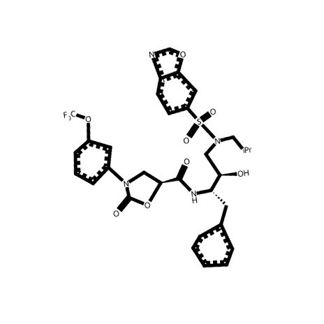 CC(C)CN(C[C@@H](O)[C@H](Cc1ccccc1)NC(=O)[C@@H]1CN(c2cccc(OC(F)(F)F)c2)C(=O)O1)S(=O)(=O)c1ccc2ncoc2c1